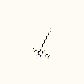 CCCCCCCCCCCCOc1c(C)c(-c2cccs2)c2nsnc2c1-c1cccs1